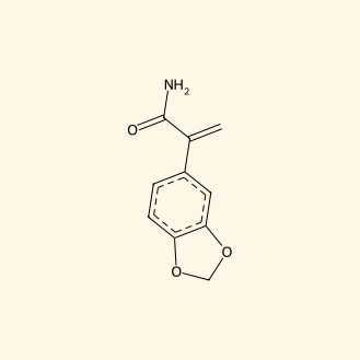 C=C(C(N)=O)c1ccc2c(c1)OCO2